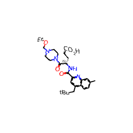 CCOCN1CCN(C(=O)[C@H](CCC(=O)O)NC(=O)c2cc(CC(C)(C)C)c3ccc(C)cc3n2)CC1